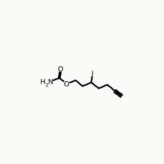 C#CCCC(I)CCOC(N)=O